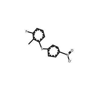 Cc1c(F)cccc1Sc1ccc([N+](=O)[O-])cc1